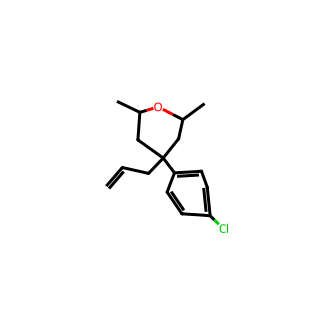 C=CCC1(c2ccc(Cl)cc2)CC(C)OC(C)C1